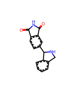 O=C1NC(=O)c2ccc(C3NCc4ccccc43)[c]c21